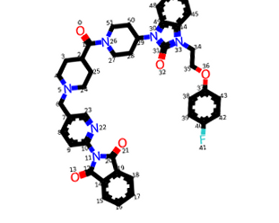 O=C(C1CCN(Cc2ccc(N3C(=O)c4ccccc4C3=O)nc2)CC1)N1CCC(n2c(=O)n(CCOc3ccc(F)cc3)c3ccccc32)CC1